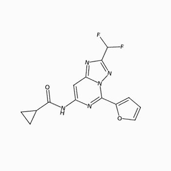 O=C(Nc1cc2nc(C(F)F)nn2c(-c2ccco2)n1)C1CC1